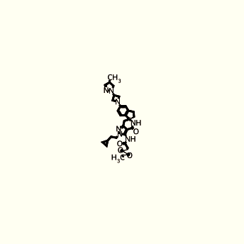 CC1C=NN(C2CN(c3ccc4c(c3)CC[C@@]43Cc4nn(CCC5CC5)c(NC(=O)CS(C)(=O)=O)c4C(=O)N3)C2)C1